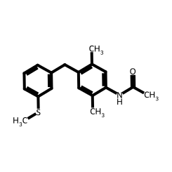 CSc1cccc(Cc2cc(C)c(NC(C)=O)cc2C)c1